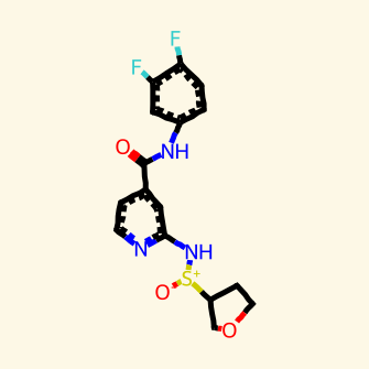 O=C(Nc1ccc(F)c(F)c1)c1ccnc(N[S+]([O-])C2CCOC2)c1